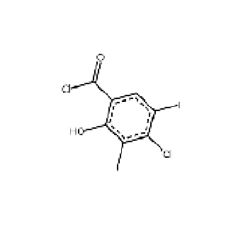 O=C(Cl)c1cc(I)c(Cl)c(I)c1O